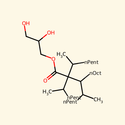 CCCCCCCCC(C(C)CCCCC)C(C(=O)OCC(O)CO)(C(C)CCCCC)C(C)CCCCC